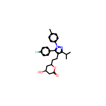 Cc1ccc(-n2nc(C(C)C)c(CCC3CC(O)CC(=O)O3)c2-c2ccc(F)cc2)cc1